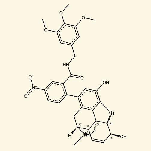 COc1cc(CNC(=O)c2cc([N+](=O)[O-])ccc2-c2cc(O)c3c4c2C[C@@H]2[C@@H]5C=C[C@H](O)[C@H](O3)[C@]45CCN2C)cc(OC)c1OC